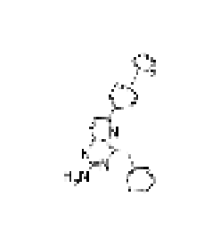 Nc1nc(Cc2ccccc2)c2nc(-c3ccc(-c4cccs4)cc3)ccc2n1